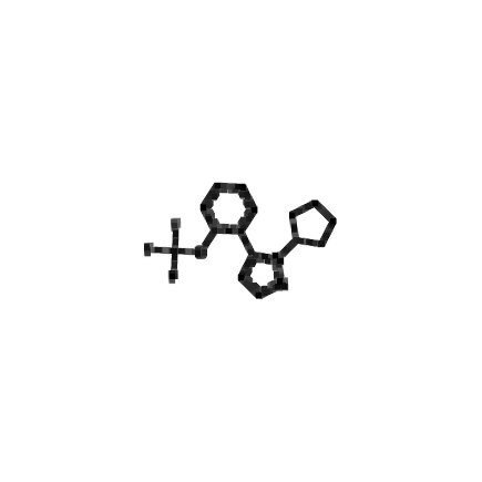 FC(F)(F)Oc1ccccc1-c1ccnn1C1CCCC1